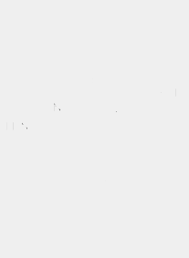 CCC1(C)C=CC=CC1NN